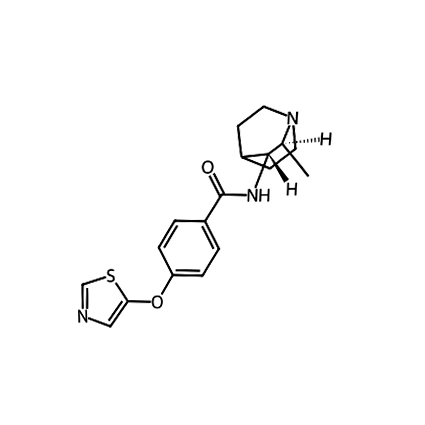 C[C@H]1[C@H](NC(=O)c2ccc(Oc3cncs3)cc2)C2CCN1CC2